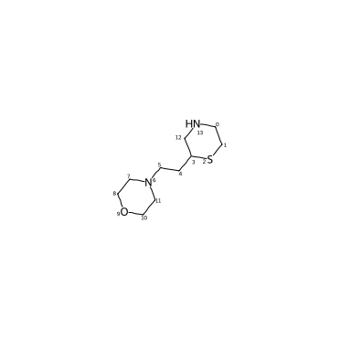 C1CSC(CCN2CCOCC2)CN1